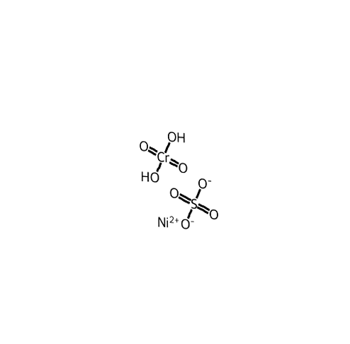 O=S(=O)([O-])[O-].[Ni+2].[O]=[Cr](=[O])([OH])[OH]